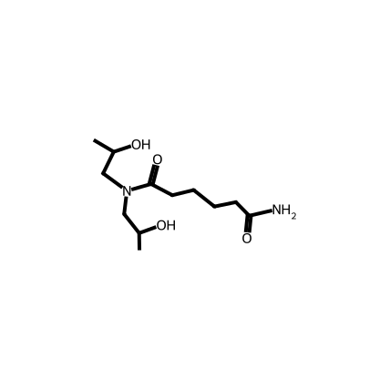 CC(O)CN(CC(C)O)C(=O)CCCCC(N)=O